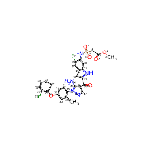 COC(=O)CS(=O)(=O)Nc1cc2[nH]c(C(=O)c3cnn(-c4ccc(Oc5ccccc5F)cc4C)c3N)cc2cc1F